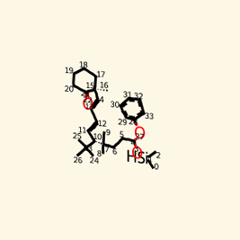 C[SiH](C)OC(CCC(C)(C)[C@@H](C=CC=C[C@]1(C)CCCCC1=O)C(C)(C)C)Oc1ccccc1